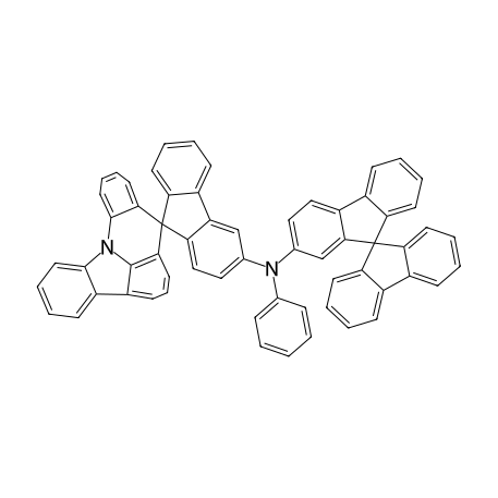 c1ccc(N(c2ccc3c(c2)-c2ccccc2C32c3ccccc3-n3c4ccccc4c4cccc2c43)c2ccc3c(c2)C2(c4ccccc4-c4ccccc42)c2ccccc2-3)cc1